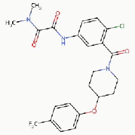 CN(C)C(=O)C(=O)Nc1ccc(Cl)c(C(=O)N2CCC(Oc3ccc(C(F)(F)F)cc3)CC2)c1